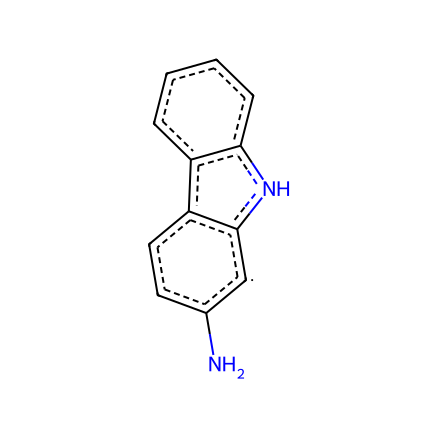 Nc1[c]c2[nH]c3ccccc3c2cc1